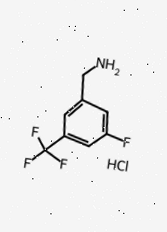 Cl.NCc1cc(F)cc(C(F)(F)F)c1